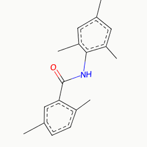 Cc1cc(C)c(NC(=O)c2cc(C)ccc2C)c(C)c1